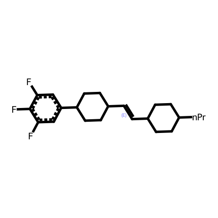 CCCC1CCC(/C=C/C2CCC(c3cc(F)c(F)c(F)c3)CC2)CC1